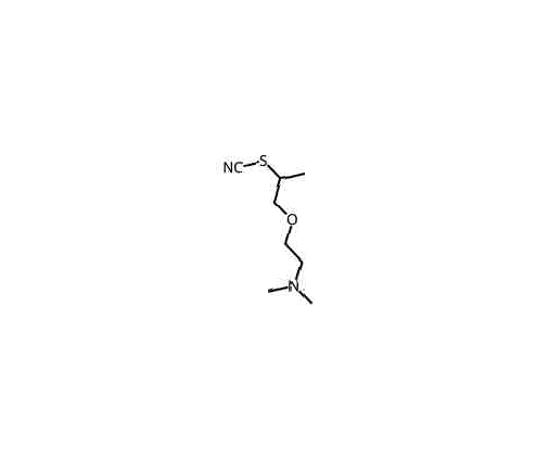 CC(COCCN(C)C)SC#N